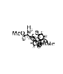 COC(=O)C(N)CSSC1C(=O)CCC(=O)[C@]1(C(=O)OC)N1C(=O)CCC1=O